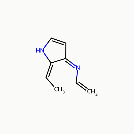 C=C/N=C1/C=CN/C1=C/C